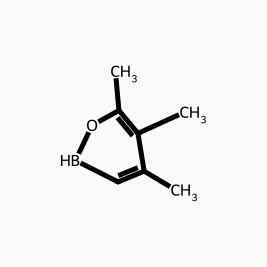 CC1=CBOC(C)=C1C